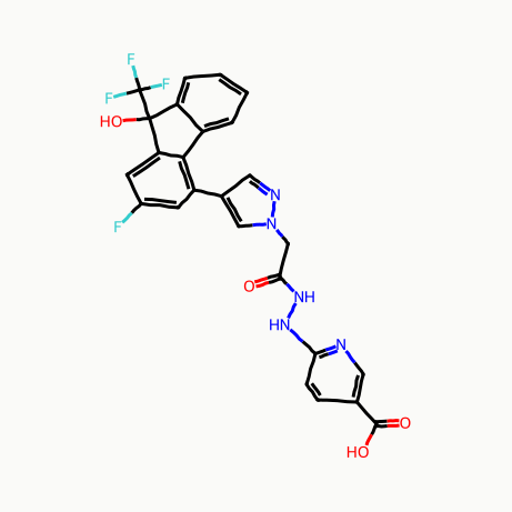 O=C(Cn1cc(-c2cc(F)cc3c2-c2ccccc2C3(O)C(F)(F)F)cn1)NNc1ccc(C(=O)O)cn1